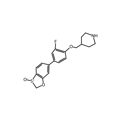 [O-][S+]1COc2cc(-c3ccc(OCC4CCNCC4)c(F)c3)ccc21